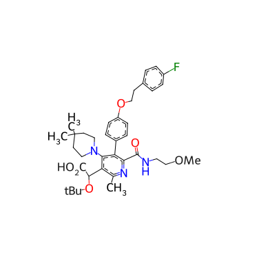 COCCNC(=O)c1nc(C)c(C(OC(C)(C)C)C(=O)O)c(N2CCC(C)(C)CC2)c1-c1ccc(OCCc2ccc(F)cc2)cc1